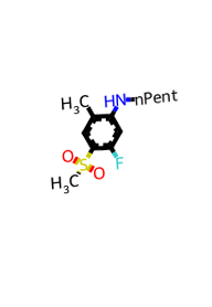 CCCCCNc1cc(F)c(S(C)(=O)=O)cc1C